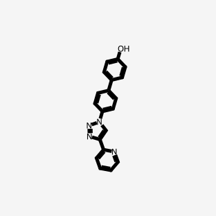 Oc1ccc(-c2ccc(-n3cc(-c4ccccn4)nn3)cc2)cc1